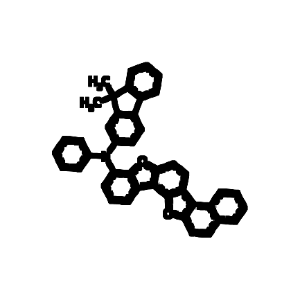 CC1(C)c2ccccc2-c2ccc(N(c3ccccc3)c3cccc4c3oc3ccc5c(oc6ccc7ccccc7c65)c34)cc21